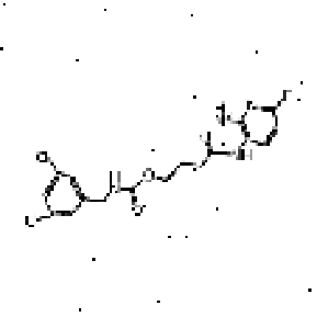 Nc1nc(F)ccc1NC(=O)CCCOC(=O)NCc1cc(Cl)cc(Cl)c1